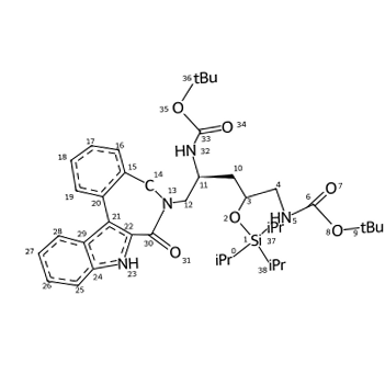 CC(C)[Si](OC(CNC(=O)OC(C)(C)C)C[C@@H](CN1Cc2ccccc2-c2c([nH]c3ccccc23)C1=O)NC(=O)OC(C)(C)C)(C(C)C)C(C)C